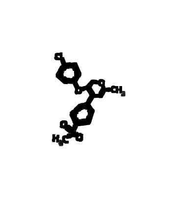 CC1=CC(c2ccc(S(C)(=O)=O)cc2)=C(Oc2ccc(Cl)cc2)CO1